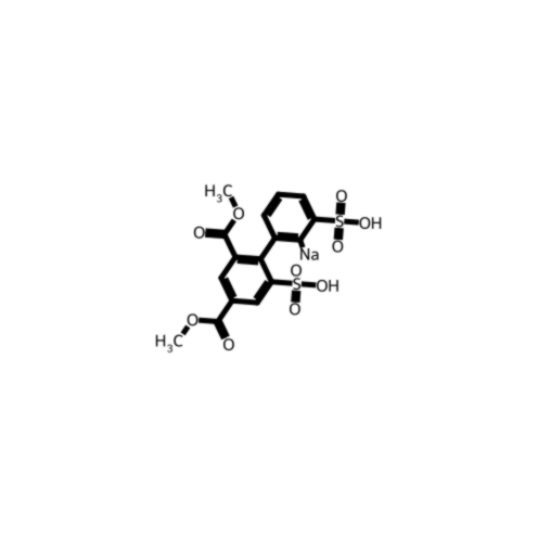 COC(=O)c1cc(C(=O)OC)c(-c2cccc(S(=O)(=O)O)[c]2[Na])c(S(=O)(=O)O)c1